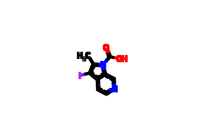 Cc1c(I)c2ccncc2n1C(=O)O